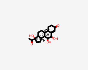 CC(=O)[C@@]1(O)CC[C@H]2[C@@H]3C(O)C(O)C4=CC(=O)CC[C@]4(C)[C@H]3CC[C@@]21C